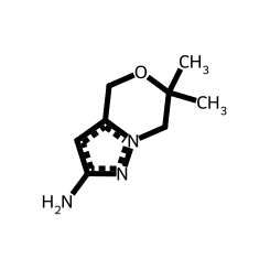 CC1(C)Cn2nc(N)cc2CO1